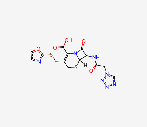 O=C(Cn1cnnn1)NC1C(=O)N2C(C(=O)O)=C(CSc3ncco3)CS[C@@H]12